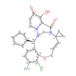 O=C1c2c(O)c(=O)ccn2N2CN1C1(/C=C/COc3c(ccc(Cl)c3Cl)[C@H]2c2ccccc2)CC1